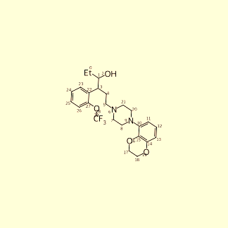 CCC(O)C(CCN1CCN(c2cccc3c2OCCO3)CC1)c1ccccc1OC(F)(F)F